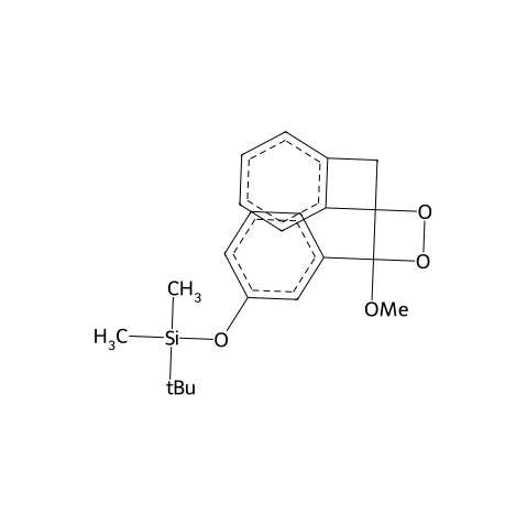 COC1(c2cccc(O[Si](C)(C)C(C)(C)C)c2)OOC12Cc1ccccc12